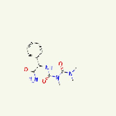 CN(C)C(=O)N(C)C(=O)NC(C(N)=O)c1ccccc1